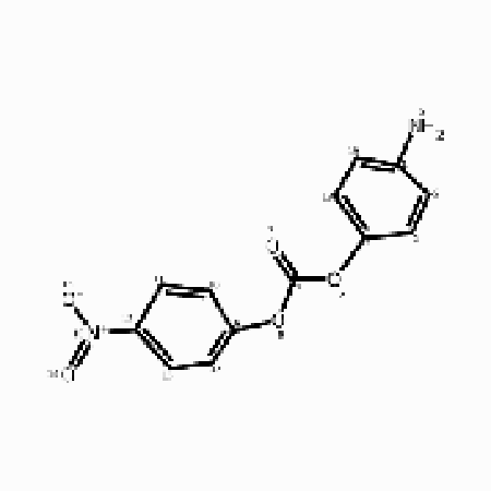 Nc1ccc(OC(=O)Oc2ccc([N+](=O)[O-])cc2)cc1